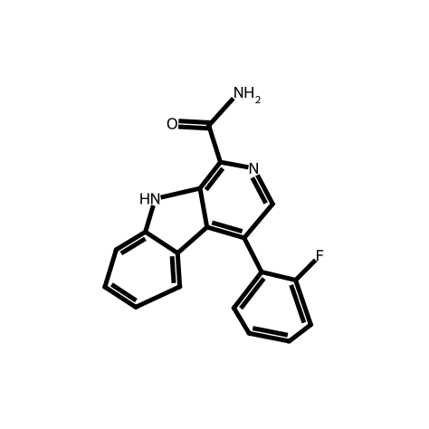 NC(=O)c1ncc(-c2ccccc2F)c2c1[nH]c1ccccc12